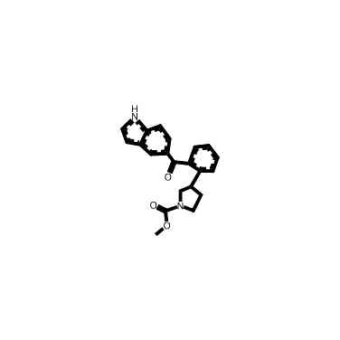 COC(=O)N1CCC(c2ccccc2C(=O)c2ccc3[nH]ccc3c2)C1